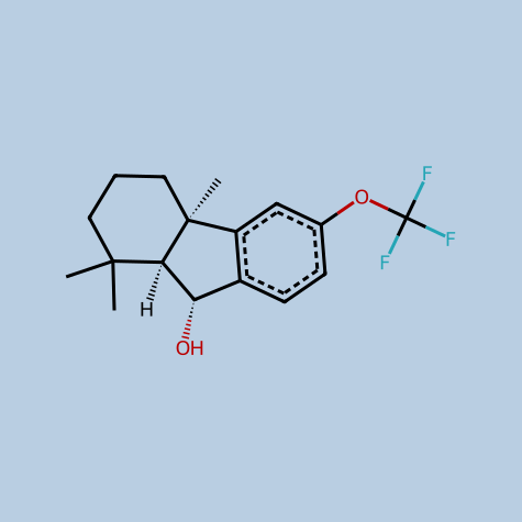 CC1(C)CCC[C@@]2(C)c3cc(OC(F)(F)F)ccc3[C@H](O)[C@@H]12